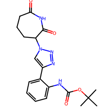 CC(C)(C)OC(=O)Nc1ccccc1-c1cn(C2CCCC(=O)NC2=O)nn1